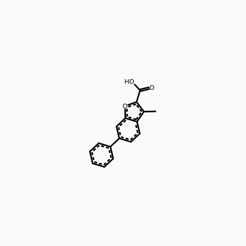 Cc1c(C(=O)O)oc2cc(-c3ccccc3)ccc12